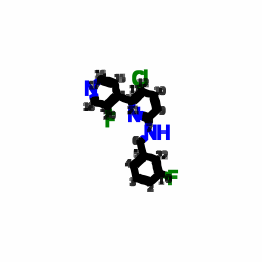 Fc1cccc(CNc2ccc(Cl)c(-c3ccncc3F)n2)c1